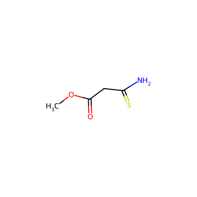 COC(=O)CC(N)=S